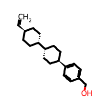 C=C[C@H]1CC[C@H]([C@H]2CC[C@H](c3ccc(CO)cc3)CC2)CC1